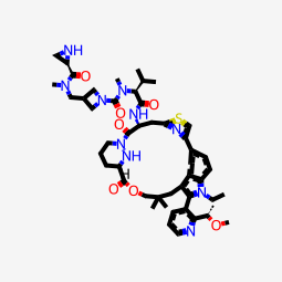 CCn1c(-c2cccnc2[C@H](C)OC)c2c3cc(ccc31)-c1csc(n1)C[C@H](NC(=O)[C@H](C(C)C)N(C)C(=O)N1CC(CN(C)C(=O)[C@H]3CN3)C1)C(=O)N1CCC[C@H](N1)C(=O)OCC(C)(C)C2